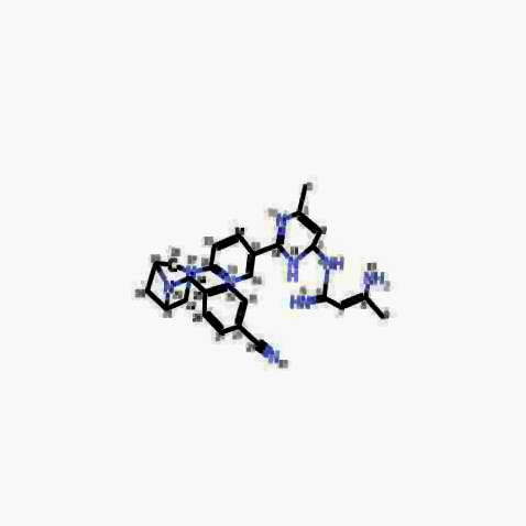 CC1=CC(NC(=N)/C=C(/C)N)NC(c2ccc(N3CC4CC(C3)N4Cc3ccc(C#N)cc3)nc2)=N1